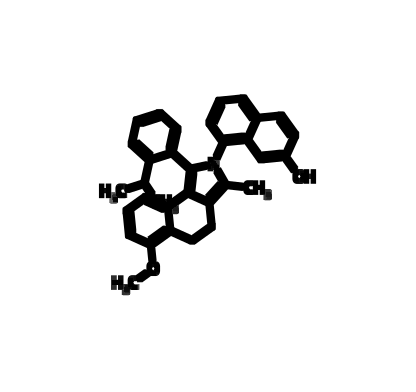 COc1cccc2c1CCc1c-2c(-c2ccccc2C(C)C)n(-c2cccc3ccc(O)cc23)c1C